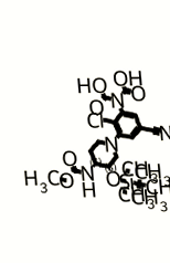 COC(=O)N[C@H]1CCN(c2cc(C#N)cc(N(C(=O)O)C(=O)O)c2Cl)C[C@@H]1O[Si](C)(C)C(C)(C)C